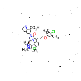 Cc1cc(OCCCc2c3n(c4c(-c5c(C)nn(C)c5C)c(Cl)ccc24)[C@H](C)CN(c2cc(C(=O)O)c4ncccc4c2)C3=O)cc(C)c1Cl